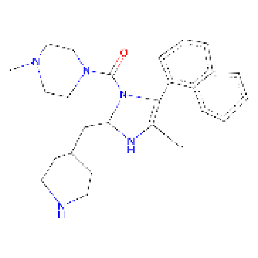 [CH2]C1=C(c2cccc3ccccc23)N(C(=O)N2CCN(C)CC2)C(CC2CCNCC2)N1